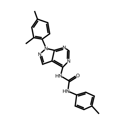 Cc1ccc(NC(=O)Nc2ncnc3c2cnn3-c2ccc(C)cc2C)cc1